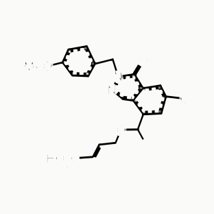 COc1ccc(Cn2ncc3c(C(C)OC/C=C/C(=O)O)cc(Cl)cc3c2=O)cc1